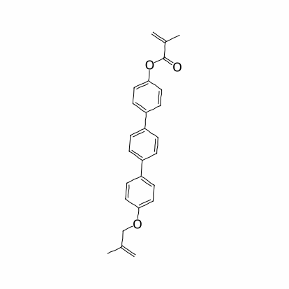 C=C(C)COc1ccc(-c2ccc(-c3ccc(OC(=O)C(=C)C)cc3)cc2)cc1